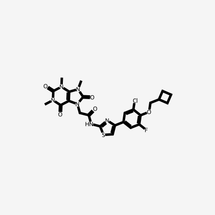 Cn1c(=O)c2c(n(C)c1=O)n(C)c(=O)n2CC(=O)Nc1nc(-c2cc(F)c(OCC3CCC3)c(Cl)c2)cs1